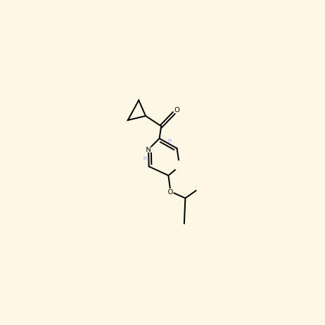 C/C=C(\N=C/C(C)OC(C)C)C(=O)C1CC1